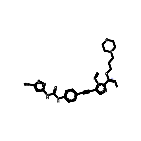 C=Nn1c(C#Cc2ccc(NC(=O)Nc3cc(C(C)(C)C)on3)cc2)cnc1/C(=C\C)OCCCN1CCOCC1